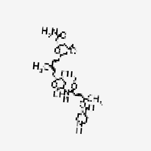 CC(C=C[C@@H]1C[C@]2(CO2)C[C@@H](CC(N)=O)O1)=CC[C@@H]1O[C@H](C)[C@H](NC(=O)C=CC(C)OC(=O)N2CCNCC2)C[C@@H]1C